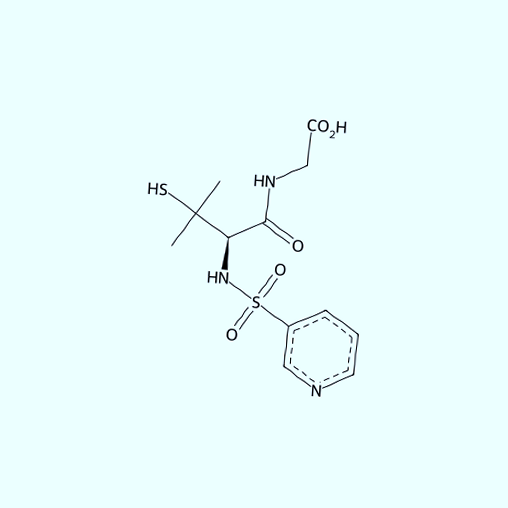 CC(C)(S)[C@H](NS(=O)(=O)c1cccnc1)C(=O)NCC(=O)O